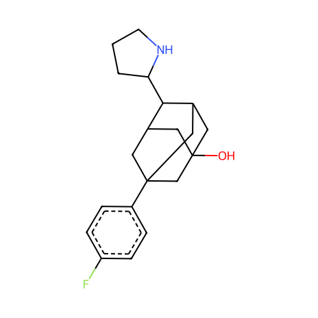 OC12CC3CC(c4ccc(F)cc4)(CC(C1)C3C1CCCN1)C2